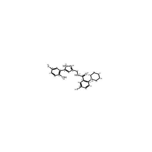 O=C(NCc1cc(-c2cc(F)ccc2O)[nH]n1)c1cc(F)ccc1N1CCCCC1